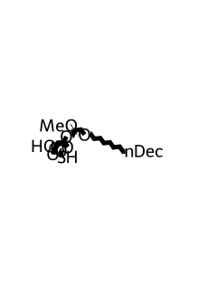 CCCCCCCCCCCCCCCCCCOC[C@H](COC(=O)CP(=O)(O)OS)OC